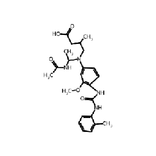 COc1cc(N(CC(C)CC(=O)O)C(C)NC(C)=O)ccc1NC(=O)Nc1ccccc1C